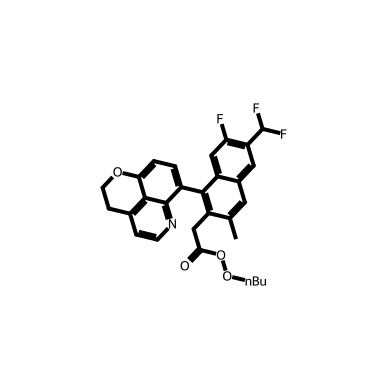 CCCCOOC(=O)Cc1c(C)cc2cc(C(F)F)c(F)cc2c1-c1ccc2c3c(ccnc13)CCO2